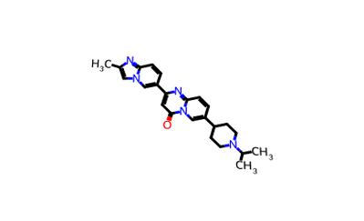 Cc1cn2cc(-c3cc(=O)n4cc(C5CCN(C(C)C)CC5)ccc4n3)ccc2n1